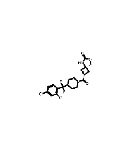 O=C1N[C@]2(CO1)C[C@H](C(=O)N1CCC(C(F)(F)c3ccc(Cl)cc3Cl)CC1)C2